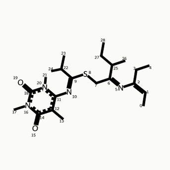 C/C=C(CC)\N=C(\CS/C(=N/c1c(C)c(=O)n(C)c(=O)n1C)C(C)C)C(C)CC